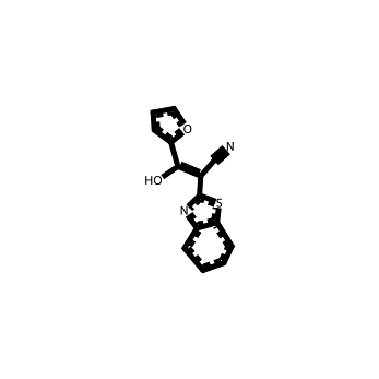 N#CC(=C(O)c1ccco1)c1nc2ccccc2s1